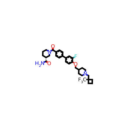 NC(=O)[C@@H]1CCCN(C(=O)c2ccc(-c3ccc(OCC4CCN(CC5(C(F)(F)F)CCC5)CC4)c(F)c3)cc2)C1